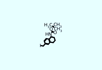 CC(C)(C)OC(=O)N[C@@H]1CCCc2cc(CI)ccc21